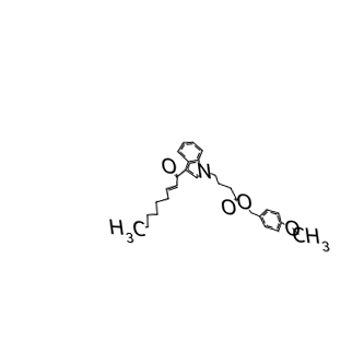 CCCCCCC=CC(=O)c1cn(CCCC(=O)OCc2ccc(OC)cc2)c2ccccc12